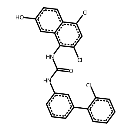 O=C(Nc1cccc(-c2ccccc2Cl)c1)Nc1c(Cl)cc(Cl)c2ccc(O)cc12